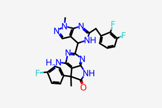 Cn1ncc2c1N=C(Cc1cccc(F)c1F)NC2c1nc(N)c2c(n1)NC(=O)C2(C)c1ccc(F)cc1